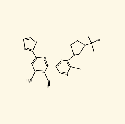 Cc1ncc(-c2nc(-c3nccs3)cc(N)c2C#N)nc1N1CCC(C(C)(C)O)C1